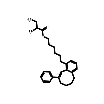 NCC(N)C(=O)OCCCCCCc1cccc2c1/C=C(/c1ccccc1)CCCC2